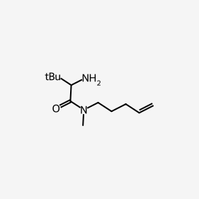 C=CCCCN(C)C(=O)C(N)C(C)(C)C